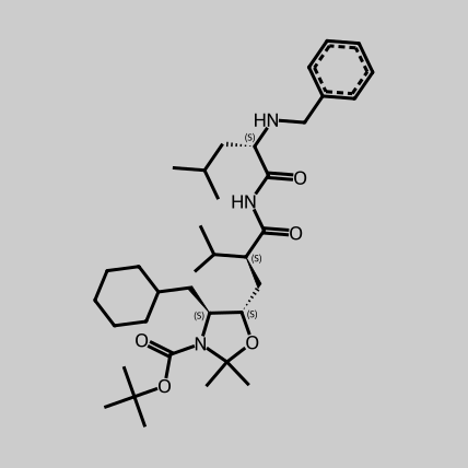 CC(C)C[C@H](NCc1ccccc1)C(=O)NC(=O)[C@@H](C[C@@H]1OC(C)(C)N(C(=O)OC(C)(C)C)[C@H]1CC1CCCCC1)C(C)C